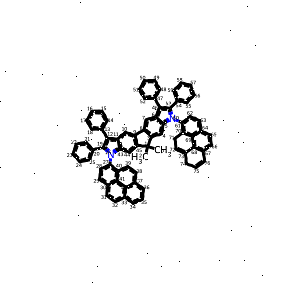 CC1(C)c2cc3c(cc2-c2cc4c(-c5ccccc5)c(-c5ccccc5)n(-c5ccc6ccc7cccc8ccc5c6c78)c4cc21)c(-c1ccccc1)c(-c1ccccc1)n3-c1ccc2ccc3c4c2c1CC=C4CC=C3